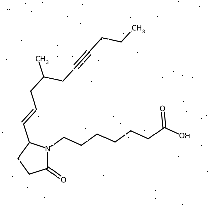 CCCC#CCC(C)C/C=C/C1CCC(=O)N1CCCCCCC(=O)O